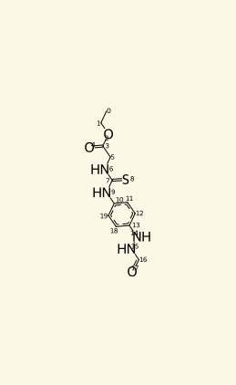 CCOC(=O)CNC(=S)Nc1ccc(NNC=O)cc1